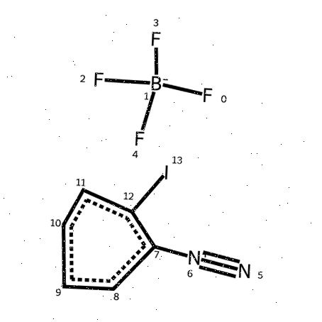 F[B-](F)(F)F.N#[N+]c1ccccc1I